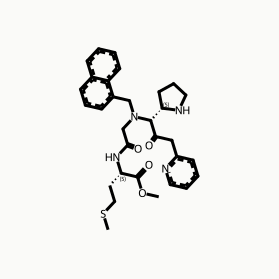 COC(=O)[C@H](CCSC)NC(=O)CN(Cc1cccc2ccccc12)C(C(=O)Cc1ccccn1)[C@@H]1CCCN1